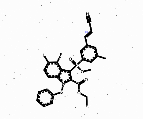 CCOC(=O)c1c(P(=O)(OC)c2cc(C)cc(/C=C/C#N)c2)c2c(F)c(I)ccc2n1Sc1ccccc1